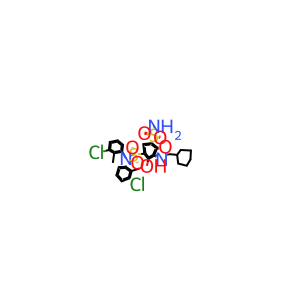 Cc1c(Cl)cccc1N(c1cccc(Cl)c1C)S(=O)(=O)c1cc(S(N)(=O)=O)c2oc(C3CCCCC3)nc2c1O